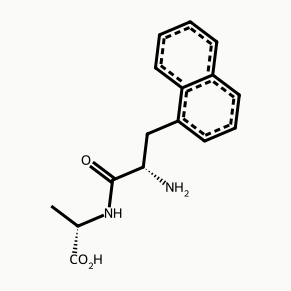 C[C@H](NC(=O)[C@@H](N)Cc1cccc2ccccc12)C(=O)O